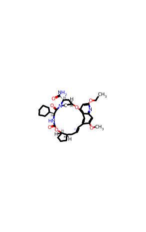 CCOc1cc2c3cc(c(OC)cc3n1)/C=C/C[C@H]1CCC[C@@H]1OC(=O)N[C@@H](C1CCCCC1)C(=O)N1C[C@@H](C[C@H]1C(N)=O)O2